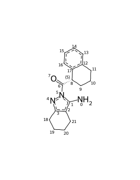 Nc1c2c(nn1C(=O)[C@H]1CCCc3ccccc31)CCCC2